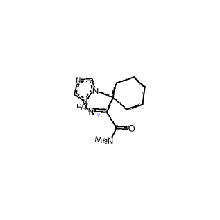 CNC(=O)/C(=N/O)C1(n2cncn2)CCCCC1